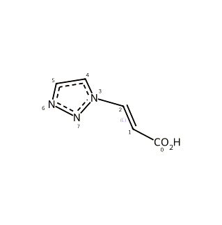 O=C(O)/C=C/n1ccnn1